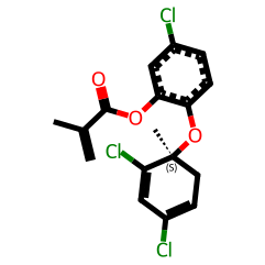 C=C(C)C(=O)Oc1cc(Cl)ccc1O[C@@]1(C)CC=C(Cl)C=C1Cl